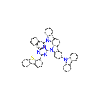 c1ccc(-c2nc(-c3cccc4c3sc3ccccc34)nc(-n3c4ccc(-n5c6ccccc6c6ccccc65)cc4c4ccc5c6ccccc6n(-c6ccccc6)c5c43)n2)cc1